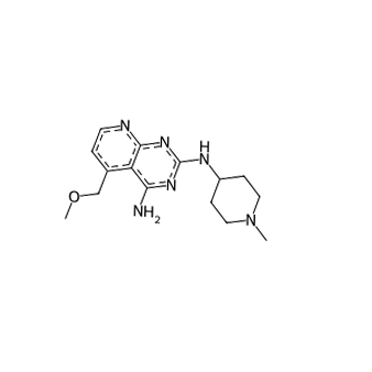 COCc1ccnc2nc(NC3CCN(C)CC3)nc(N)c12